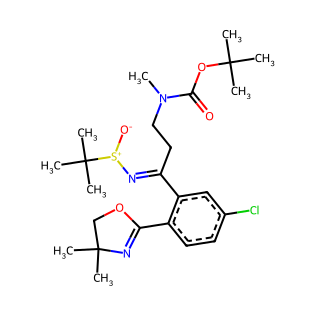 CN(CCC(=N[S+]([O-])C(C)(C)C)c1cc(Cl)ccc1C1=NC(C)(C)CO1)C(=O)OC(C)(C)C